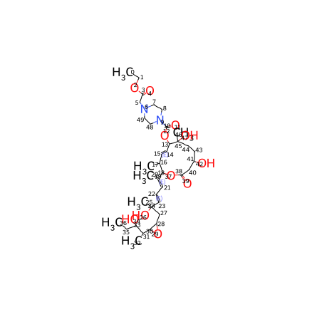 CCOC(=O)CN1CCN(C(=O)OC2/C=C/C(C)C(/C(C)=C/C=C/C(C)(O)CC3OC3C(C)C(O)CC)OC(=O)CC(O)CCC2(C)O)CC1